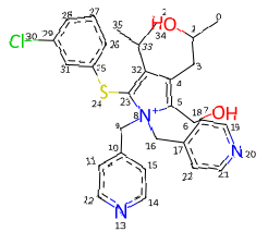 CC(O)CC1=C(CO)[N+](Cc2ccncc2)(Cc2ccncc2)C(Sc2cccc(Cl)c2)=C1C(C)C